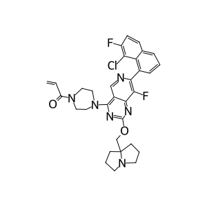 C=CC(=O)N1CCN(c2nc(OCC34CCCN3CCC4)nc3c(F)c(-c4cccc5ccc(F)c(Cl)c45)ncc23)CC1